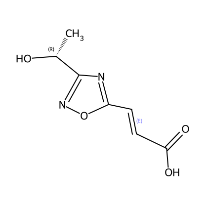 C[C@@H](O)c1noc(/C=C/C(=O)O)n1